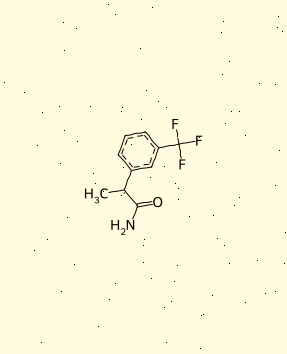 C[C](C(N)=O)c1cccc(C(F)(F)F)c1